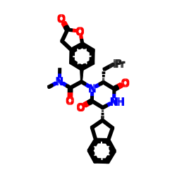 CC(C)C[C@@H]1C(=O)N[C@H](C2Cc3ccccc3C2)C(=O)N1[C@@H](C(=O)N(C)C)c1ccc2c(c1)CC(=O)O2